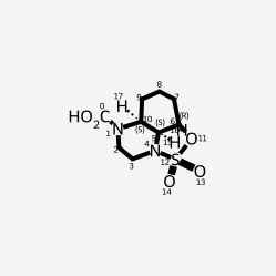 O=C(O)N1CCN2[C@@H]3[C@@H](CCC[C@@H]31)OS2(=O)=O